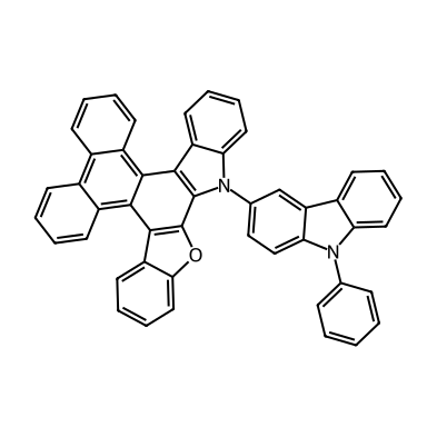 c1ccc(-n2c3ccccc3c3cc(-n4c5ccccc5c5c6c7ccccc7c7ccccc7c6c6c7ccccc7oc6c54)ccc32)cc1